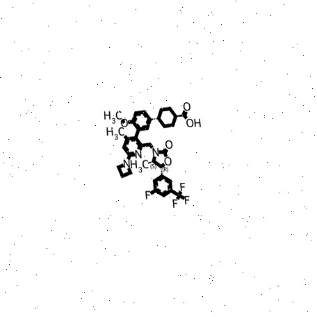 COc1ccc([C@H]2CC[C@H](C(=O)O)CC2)cc1-c1c(C)cc(N2CCC2)nc1CN1C(=O)O[C@H](c2cc(F)cc(C(F)(F)F)c2)[C@@H]1C